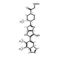 CNCC(=O)N1CCN(c2nc3c(C(C)C)c(-c4cn5ncnc5c(C)c4C)[nH]c3s2)[C@H](C)C1